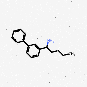 CCCC[C](N)c1cccc(-c2ccccc2)c1